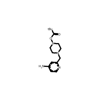 CC(C)(C)C(=O)ON1CCN(Cc2cc(N)ccn2)CC1